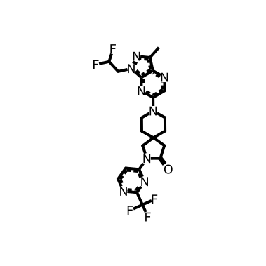 Cc1nn(CC(F)F)c2nc(N3CCC4(CC3)CC(=O)N(c3ccnc(C(F)(F)F)n3)C4)cnc12